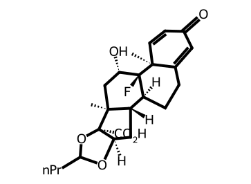 CCCC1O[C@@H]2C[C@H]3[C@@H]4CCC5=CC(=O)C=C[C@]5(C)[C@@]4(F)[C@@H](O)C[C@]3(C)[C@]2(C(=O)O)O1